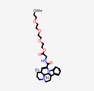 CC[C@@]12C=C(C(=O)NCC(=O)OCCOCCOCCOCCOC)n3c4c(c5ccccc53)CCN(CCC1)[C@H]42